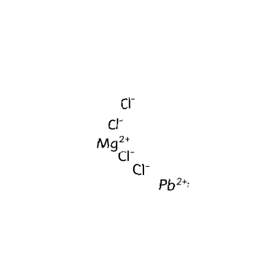 [Cl-].[Cl-].[Cl-].[Cl-].[Mg+2].[Pb+2]